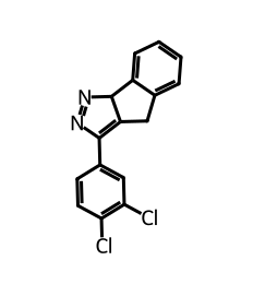 Clc1ccc(C2=C3Cc4ccccc4C3N=N2)cc1Cl